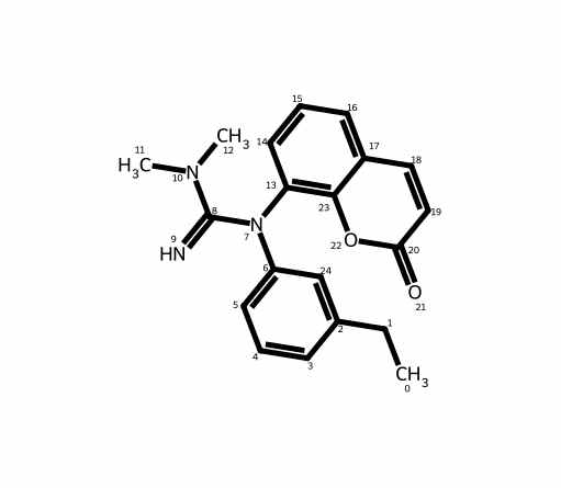 CCc1cccc(N(C(=N)N(C)C)c2cccc3ccc(=O)oc23)c1